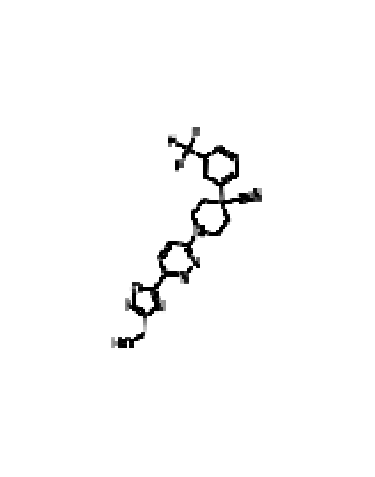 N#CC1(c2cccc(C(F)(F)F)c2)CCN(c2ccc(-c3nc(CO)no3)nn2)CC1